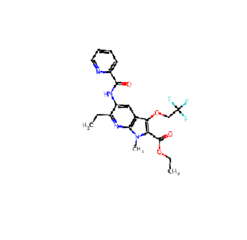 CCOC(=O)c1c(OCC(F)(F)F)c2cc(NC(=O)c3ccccn3)c(CC)nc2n1C